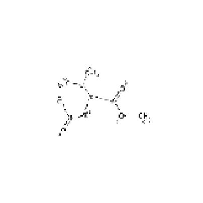 COC(=O)C(NC(=O)Cl)C(C)C